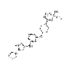 CC(C)(C)OC(=O)N1CCC(Oc2cncc(Nc3cc([C@@H]4CCOC4)[nH]n3)n2)CC1